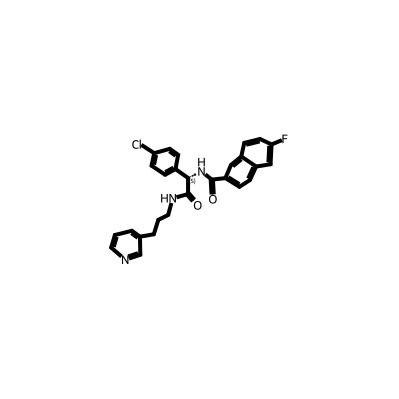 O=C(N[C@H](C(=O)NCCCc1cccnc1)c1ccc(Cl)cc1)c1ccc2cc(F)ccc2c1